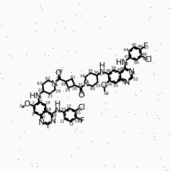 COc1cc2ncnc(Nc3ccc(F)c(Cl)c3)c2cc1NC1CCN(C(=O)C2CC(C(=O)N3CCC(Nc4cc5c(Nc6ccc(F)c(Cl)c6)ncnc5cc4OC)CC3)C2)CC1